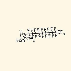 C[C](C)([SnH])CC(F)(F)C(F)(F)C(F)(F)C(F)(F)C(F)(F)C(F)(F)C(F)(F)C(F)(F)C(F)(F)C(F)(F)F